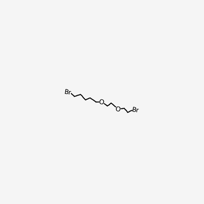 BrCCCCCOCCOCCBr